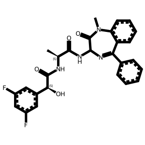 C[C@H](NC(=O)[C@@H](O)c1cc(F)cc(F)c1)C(=O)NC1N=C(c2ccccc2)c2ccccc2N(C)C1=O